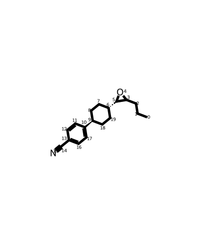 CCCC1OC1[C@H]1CC[C@H](c2ccc(C#N)cc2)CC1